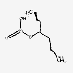 CCCC(CC)O[P](=O)O